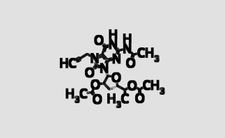 C#CCn1c(=O)n([C@@H]2O[C@H]([C@H](C)OC(C)=O)C[C@H]2OC(C)=O)c2nc(NC(C)=O)[nH]c(=O)c21